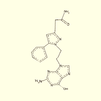 NC(=O)Cc1cc(-c2ccccc2)n(CCn2cnc3c(O)nc(N)nc32)n1